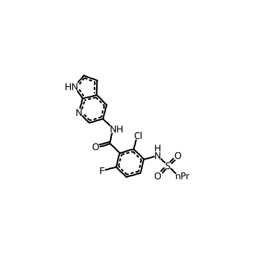 CCCS(=O)(=O)Nc1ccc(F)c(C(=O)Nc2cnc3[nH]ccc3c2)c1Cl